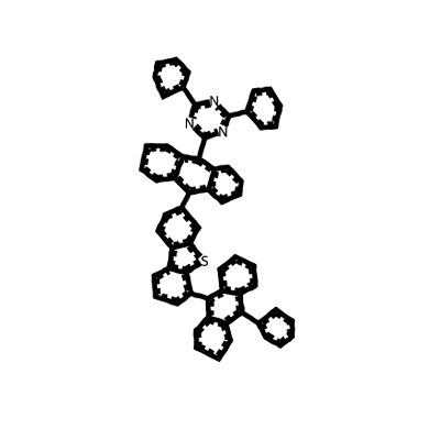 c1ccc(-c2nc(-c3ccccc3)nc(-c3c4ccccc4c(-c4ccc5c(c4)sc4c(-c6c7ccccc7c(-c7ccccc7)c7ccccc67)cccc45)c4ccccc34)n2)cc1